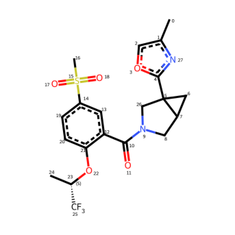 Cc1coc(C23CC2CN(C(=O)c2cc(S(C)(=O)=O)ccc2O[C@@H](C)C(F)(F)F)C3)n1